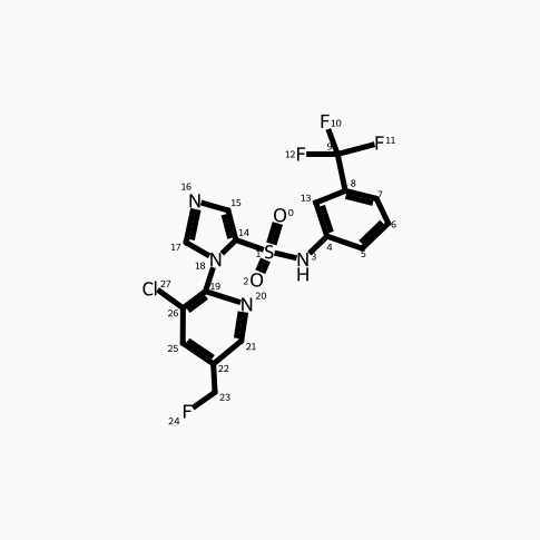 O=S(=O)(Nc1cccc(C(F)(F)F)c1)c1cncn1-c1ncc(CF)cc1Cl